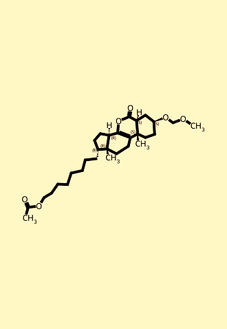 COCO[C@H]1CC[C@]2(C)C3=C(OC(=O)[C@H]2C1)[C@@H]1CC[C@@H](CCCCCCCCOC(C)=O)[C@@]1(C)CC3